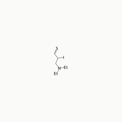 CCN(CC)CC(I)C=S